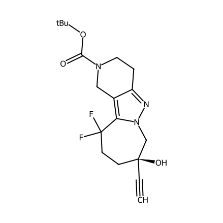 C#C[C@]1(O)CCC(F)(F)c2c3c(nn2C1)CCN(C(=O)OC(C)(C)C)C3